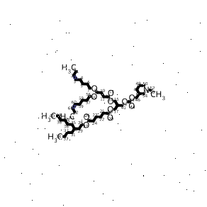 CC/C=C\CCCCOC(CCC(=O)OCC(COC(=O)CCCCC(=O)OCCC(CCCC)CCCCCC)COC(=O)OCC1CCCN(CC)C1)OCCCC/C=C\CC